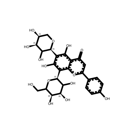 O=c1cc(-c2ccc(O)cc2)oc2c([C@@H]3OC(CO)[C@H](O)[C@H](O)C3O)c(O)c([C@@H]3OC[C@H](O)[C@H](O)C3O)c(O)c12